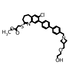 COC(=O)CSC1=Nc2cc(-c3ccc(-c4ccc(CN5CC(COCCO)C5)cc4)cc3)c(Cl)cc2CCC1